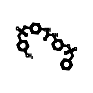 Cc1ccc(CS(=O)(=O)Oc2ccc(NC(=O)Nc3cccc(OS(=O)(=O)Cc4ccccc4)c3)cc2)cc1